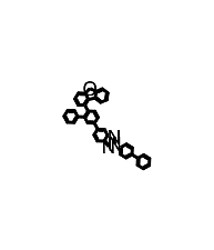 c1ccc(-c2ccc(-n3nc4ccc(-c5ccc(-c6cccc7oc8ccccc8c67)c(-c6ccccc6)c5)cc4n3)cc2)cc1